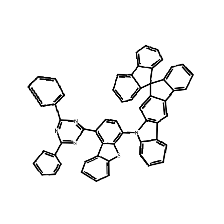 c1ccc(-c2nc(-c3ccccc3)nc(-c3ccc(-n4c5ccccc5c5cc6c(cc54)C4(c5ccccc5-c5ccccc54)c4ccccc4-6)c4sc5ccccc5c34)n2)cc1